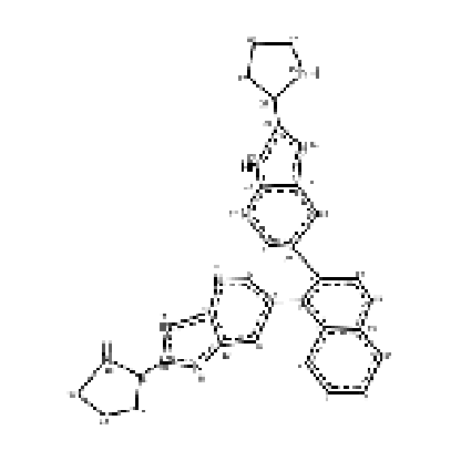 c1ccc2c(-c3cnc4[nH]c(C5CCCN5)nc4c3)c(-c3cnc4[nH]c(C5CCCN5)nc4c3)ccc2c1